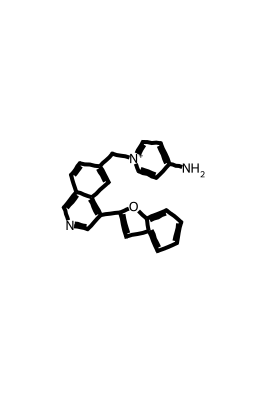 Nc1cc[n+](Cc2ccc3cncc(-c4cc5ccccc5o4)c3c2)cc1